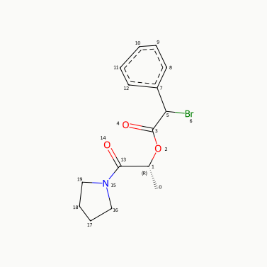 C[C@@H](OC(=O)C(Br)c1ccccc1)C(=O)N1CCCC1